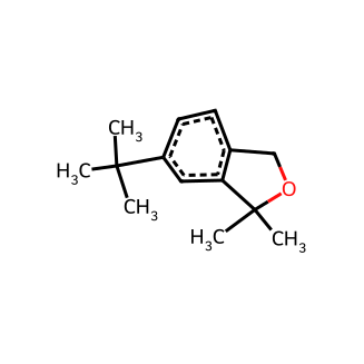 CC(C)(C)c1ccc2c(c1)C(C)(C)OC2